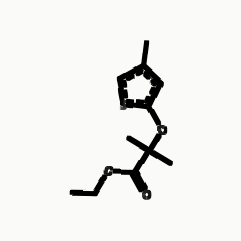 CCOC(=O)C(C)(C)Oc1cc(C)cs1